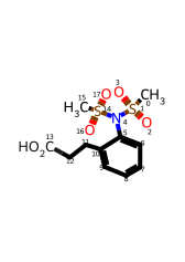 CS(=O)(=O)N(c1ccccc1CCC(=O)O)S(C)(=O)=O